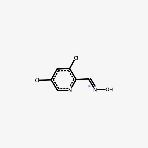 O/N=C/c1ncc(Cl)cc1Cl